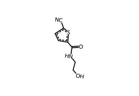 N#Cc1ccc(C(=O)NCCO)s1